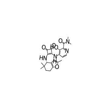 Cc1cc2c(o1)CCC(C)(C)[C@@H]2Nc1c(Nc2ccnc(C(=O)N(C)C)c2O)c(=O)c1=O